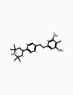 Cc1c(C(C)(C)C)cc(CCc2ccc(C3CC(C)(C)NC(C)(C)C3)cc2)cc1C(C)(C)C